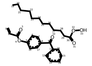 C=CC(=O)Oc1ccc(C(=O)c2ccccc2)cc1.CCCCCCCCCCCC(=O)OO